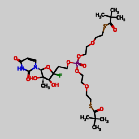 CC(C)(C)C(=O)SCCOCCOP(=O)(OCCOCCSC(=O)C(C)(C)C)OCC[C@@]1(F)O[C@@H](n2ccc(=O)[nH]c2=O)[C@](C)(O)[C@@H]1O